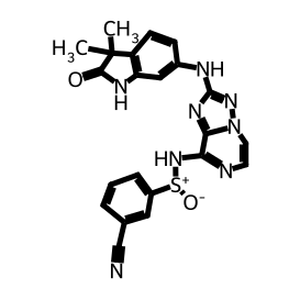 CC1(C)C(=O)Nc2cc(Nc3nc4c(N[S+]([O-])c5cccc(C#N)c5)nccn4n3)ccc21